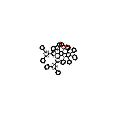 c1ccc(-c2nc(-c3ccccc3)nc(-c3cnc(-c4c(-n5c6ccccc6c6ccccc65)c(-n5c6ccccc6c6ccccc65)c5c6c(-c7ccccc7)c(-c7ccccc7)c(-c7ccccc7)c(-c7ccccc7)c6n(-c6ccccc6)c5c4-c4ncc(-c5nc(-c6ccccc6)nc(-c6ccccc6)n5)cn4)nc3)n2)cc1